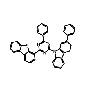 C1=C(c2ccccc2)CCc2c1n(-c1nc(-c3ccccc3)nc(-c3cccc4c3sc3ccccc34)n1)c1ccccc21